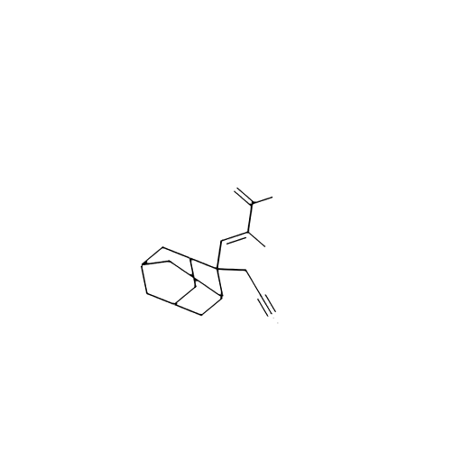 CC(=CC1(CC#N)C2CC3CC(C2)CC1C3)C(=O)O